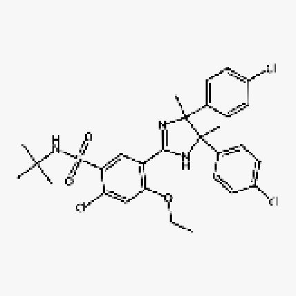 CCOc1cc(Cl)c(S(=O)(=O)NC(C)(C)C)cc1C1=NC(C)(c2ccc(Cl)cc2)C(C)(c2ccc(Cl)cc2)N1